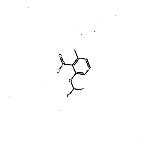 [CH2]c1cccc(OC(F)F)c1[N+](=O)[O-]